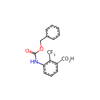 O=C(Nc1cccc(C(=O)O)c1C(F)(F)F)OCc1ccccc1